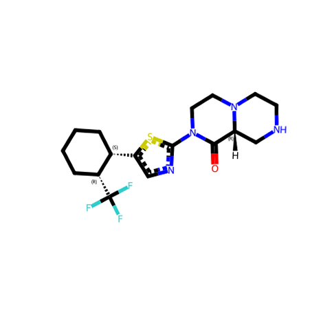 O=C1[C@H]2CNCCN2CCN1c1ncc([C@H]2CCCC[C@H]2C(F)(F)F)s1